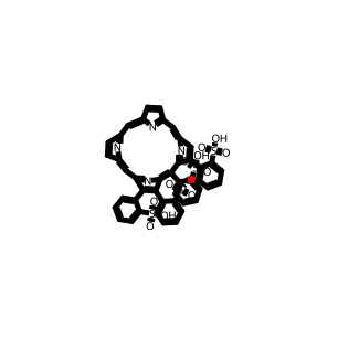 O=S(=O)(O)c1ccccc1C1=CC2=CC3=NC(=CC4=NC(=CC5=NC(=C(c6ccccc6S(=O)(=O)O)C1=N2)C(c1ccccc1S(=O)(=O)O)=C5c1ccccc1S(=O)(=O)O)C=C4)C=C3